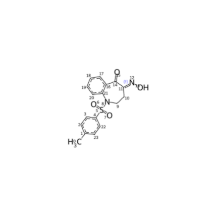 Cc1ccc(S(=O)(=O)N2CC/C(=N\O)C(=O)c3ccccc32)cc1